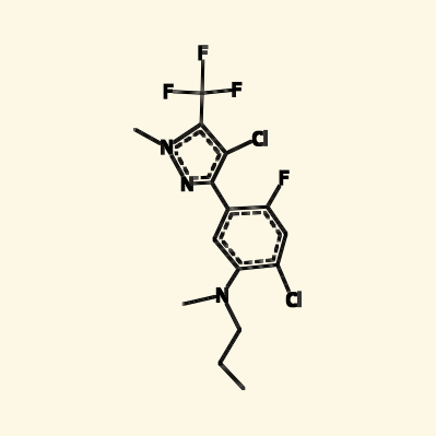 CCCN(C)c1cc(-c2nn(C)c(C(F)(F)F)c2Cl)c(F)cc1Cl